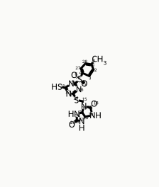 Cc1ccc(S(=O)(=O)c2nc(S)nc(SCN3C(=O)NC4NC(=O)NC43)n2)cc1